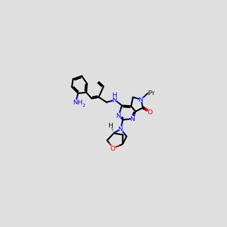 C=C/C(=C\c1ccccc1N)CNc1nc(N2CC3C[C@H]2CO3)nc2c1CN(C(C)C)C2=O